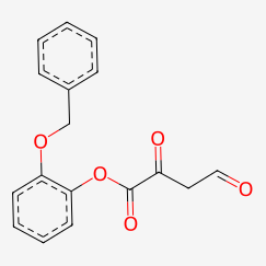 O=CCC(=O)C(=O)Oc1ccccc1OCc1ccccc1